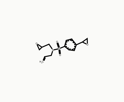 C=CCN(CC1CO1)S(=O)(=O)c1ccc(C2CO2)cc1